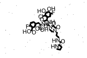 O=C(O)c1c(F)ccc2c1OB(O)[C@@H](NC(=O)C(NC(=O)N1CCN(CCCNC(=O)[C@@H]3CCCN3)C(=O)C1=O)c1cc(F)c(O)c(O)c1Cl)C2